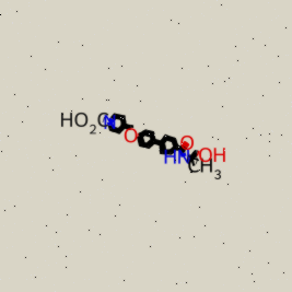 C[C@H](CO)NC(=O)C1CC=C(c2ccc(OCC3CCN(C(=O)O)CC3)cc2)CC1